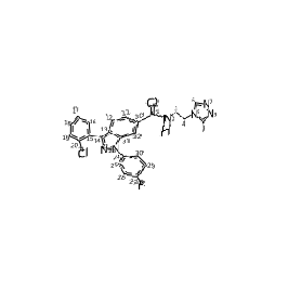 O=C(NCCn1cnnc1)c1ccc2c(-c3ccccc3Cl)nn(-c3ccc(F)cc3)c2c1